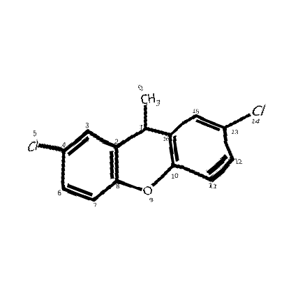 CC1c2cc(Cl)ccc2Oc2ccc(Cl)cc21